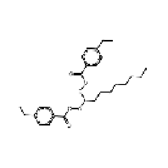 [CH2]CCCCCCC[C](OOC(=O)c1ccc(CC)cc1)OOC(=O)c1ccc(CC)cc1